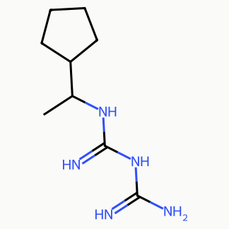 CC(NC(=N)NC(=N)N)C1CCCC1